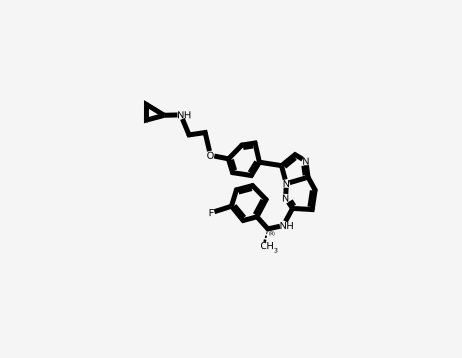 C[C@@H](Nc1ccc2ncc(-c3ccc(OCCNC4CC4)cc3)n2n1)c1cccc(F)c1